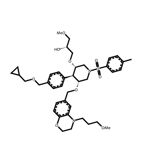 COCCCN1CCOc2ccc(CO[C@H]3CN(S(=O)(=O)c4ccc(C)cc4)C[C@@H](OC[C@H](O)COC)[C@@H]3c3ccc(COCC4CC4)cc3)cc21